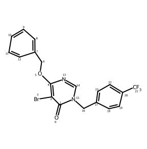 O=c1c(Br)c(OCc2ccccc2)ncn1Cc1ccc(C(F)(F)F)cc1